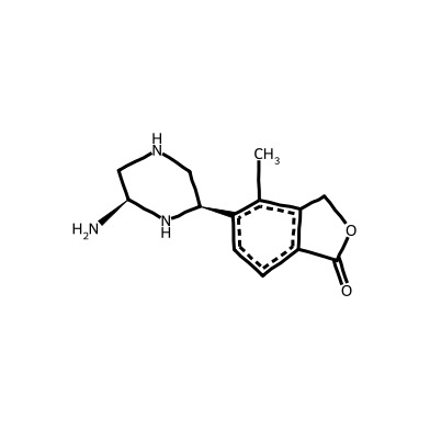 Cc1c([C@@H]2CNC[C@H](N)N2)ccc2c1COC2=O